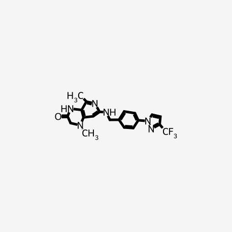 Cc1nc(NCc2ccc(-n3ccc(C(F)(F)F)n3)cc2)cc2c1NC(=O)CN2C